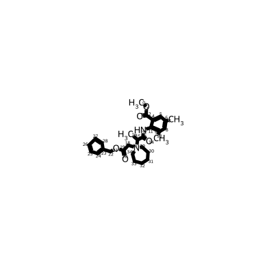 COC(=O)c1cc(C)cc(C)c1NC(=O)C(C)[N+]1(CC(=O)OCc2ccccc2)CCCCCC1